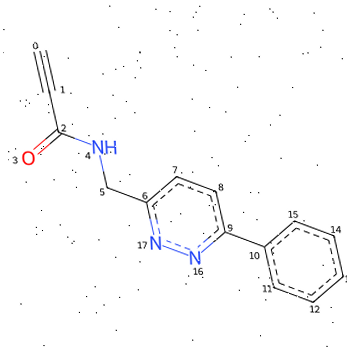 C#CC(=O)NCc1ccc(-c2ccccc2)nn1